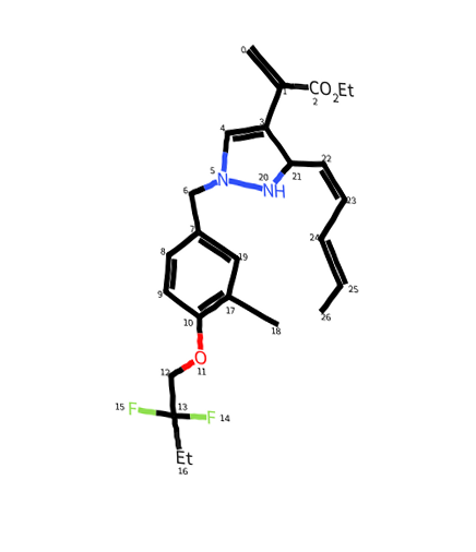 C=C(C(=O)OCC)C1=CN(Cc2ccc(OCC(F)(F)CC)c(C)c2)NC1/C=C\C=C\C